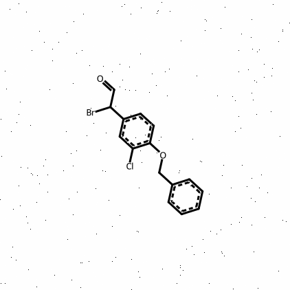 O=CC(Br)c1ccc(OCc2ccccc2)c(Cl)c1